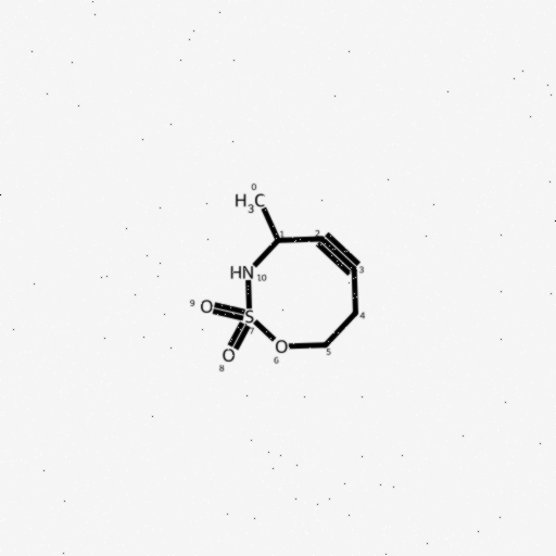 CC1C#CCCOS(=O)(=O)N1